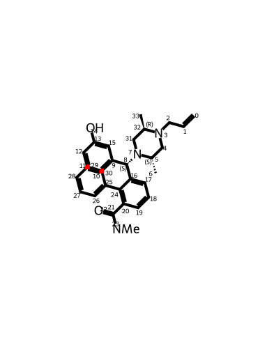 C=CCN1C[C@H](C)N([C@@H](c2cccc(O)c2)c2cccc(C(=O)NC)c2-c2ccccc2)C[C@H]1C